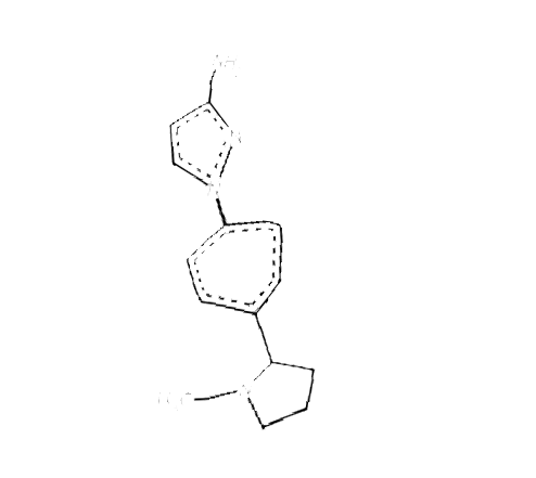 CN1CCCC1c1ccc(-n2ccc(N)n2)cc1